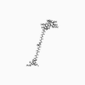 CC(=O)NC1[C@@H](O[C@H]2C(CO)O[C@H](O)C(NC(=O)OCCCCCCCCCCOC(=O)CCCCCCCCCCOC(=O)C[N+](C)(C)CCOC(C)=O)[C@@H]2O)OC(CO)[C@H](O)[C@H]1O